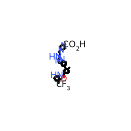 Cc1ccc(C(=O)Nc2cccc(C(F)(F)F)c2C)cc1-c1ccc2nc(NCCN3CCN(C(=O)O)CC3)ncc2c1